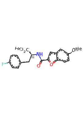 COc1ccc2oc(C(=O)N[C@@H](Cc3ccc(F)cc3)C(=O)O)cc2c1